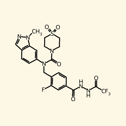 Cn1ncc2ccc(N(Cc3ccc(C(=O)NNC(=O)C(F)(F)F)cc3F)C(=O)N3CCS(=O)(=O)CC3)cc21